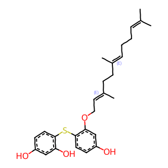 CC(C)=CCC/C=C(\C)CC/C(C)=C/COc1cc(O)ccc1Sc1ccc(O)cc1O